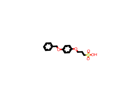 O=S(=O)(O)CCCOc1ccc(OCc2ccccc2)cc1